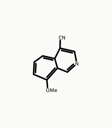 COc1cccc2c(C#N)cncc12